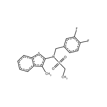 CCS(=O)(=O)N(Cc1ccc(F)c(F)c1)c1sc2ccccc2c1C